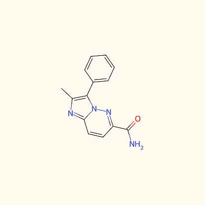 Cc1nc2ccc(C(N)=O)nn2c1-c1ccccc1